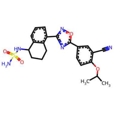 CC(C)Oc1ccc(-c2nc(-c3cccc4c3CCCC4NS(N)(=O)=O)no2)cc1C#N